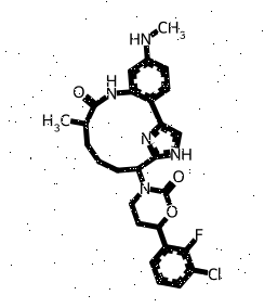 CNc1ccc2c(c1)NC(=O)C(C)CCCC(N1CCC(c3cccc(Cl)c3F)OC1=O)c1nc-2c[nH]1